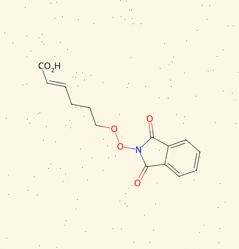 O=C(O)/C=C/CCCOON1C(=O)c2ccccc2C1=O